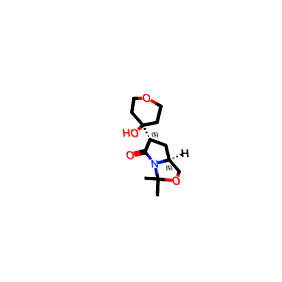 CC1(C)OC[C@@H]2C[C@@H](C3(O)CCOCC3)C(=O)N21